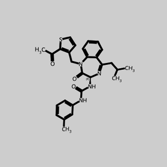 CC(=O)c1sccc1CN1C(=O)[C@H](NC(=O)Nc2cccc(C)c2)N=C(CC(C)C)c2ccccc21